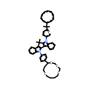 CC(C)(c1ccccccccc1)c1ccc(-n2c3c(c4ccccc42)-c2c(c4ccccc4n2-c2ccc(C4CCCCCCCCCCCC4)cc2)C3(C)C)cc1